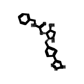 O=C(NCc1ccccc1)O[C@@H]1[C@@H](O)CN[C@@H]1Cc1ccc(-c2c[nH]nn2)cc1